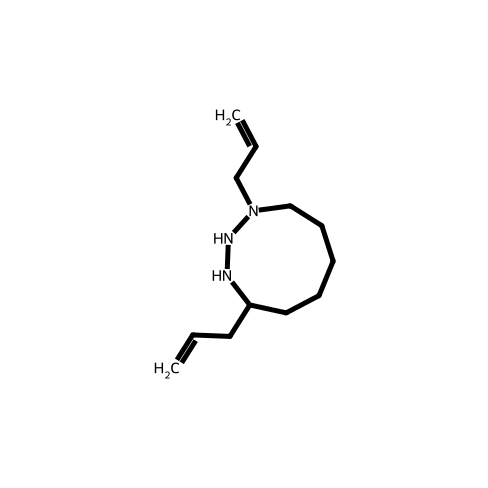 C=CCC1CCCCCN(CC=C)NN1